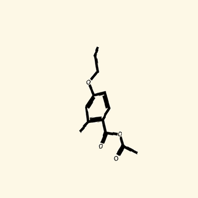 CCCOc1ccc(C(=O)OC(C)=O)c(C)c1